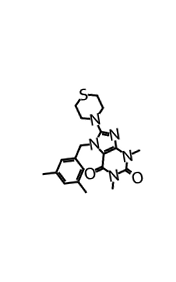 Cc1cc(C)cc(Cn2c(N3CCSCC3)nc3c2c(=O)n(C)c(=O)n3C)c1